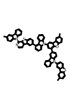 Cc1ccc2oc3c(-c4ccc5c(c4)c4ccccc4n5-c4ccc5sc6ccc(C)cc6c5c4)cc(-n4c5ccccc5c5c(-c6ccc7sc8c(-n9c%10ccccc%10c%10cc(C)ccc%109)nccc8c7c6)cccc54)cc3c2c1